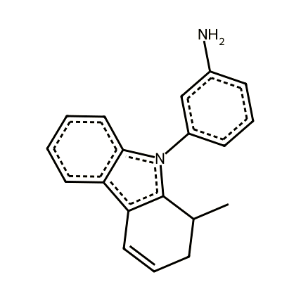 CC1CC=Cc2c1n(-c1cccc(N)c1)c1ccccc21